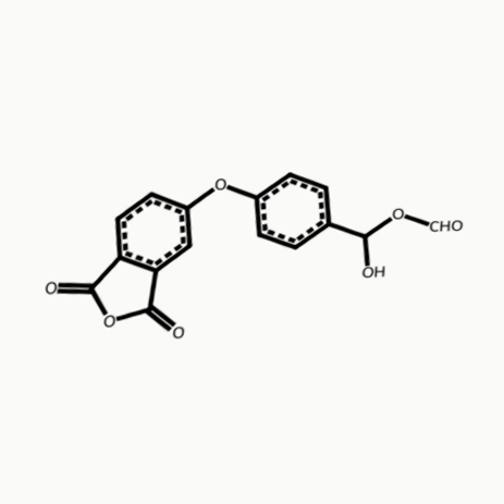 O=COC(O)c1ccc(Oc2ccc3c(c2)C(=O)OC3=O)cc1